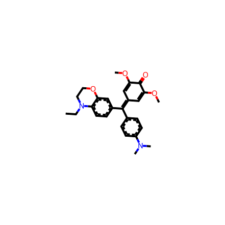 CCN1CCOc2cc(C(=C3C=C(OC)C(=O)C(OC)=C3)c3ccc(N(C)C)cc3)ccc21